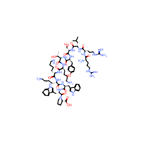 CC(C)C[C@H](NC(=O)[C@H](CCCNC(=N)N)NC(=O)[C@@H](N)CCCNC(=N)N)C(=O)N[C@@H](CO)C(=O)N[C@@H](Cc1ccc(O)cc1)C(=O)N[C@H](C(=O)N[C@@H](CCCCN)C(=O)N[C@@H](CCCCN)C(=O)N[C@@H](CCCCN)C(=O)N[C@@H](Cc1c[nH]c2ccccc12)C(=O)N[C@@H](Cc1c[nH]c2ccccc12)C(=O)N1CCC[C@H]1C(=O)O)[C@@H](C)O